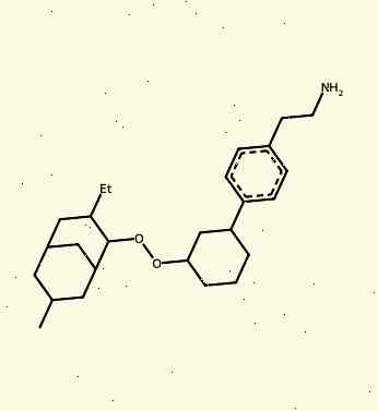 CCC1CC2CC(C)CC(C2)C1OOC1CCCC(c2ccc(CCN)cc2)C1